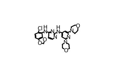 Clc1ccc2c(c1Nc1ccnc(Nc3cc(N4CCOCC4)nc(N4CCOCC4)c3)n1)OCO2